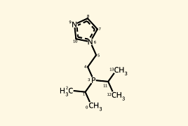 CC(C)P(CCn1ccnc1)C(C)C